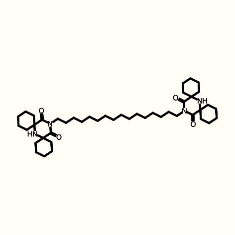 O=C1N(CCCCCCCCCCCCCCCCN2C(=O)C3(CCCCC3)NC3(CCCCC3)C2=O)C(=O)C2(CCCCC2)NC12CCCCC2